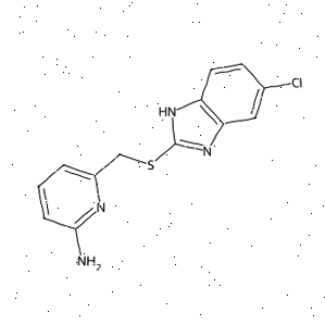 Nc1cccc(CSc2nc3cc(Cl)ccc3[nH]2)n1